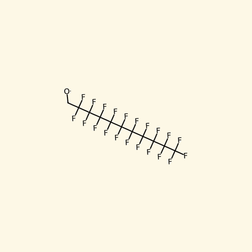 [O]CC(F)(F)C(F)(F)C(F)(F)C(F)(F)C(F)(F)C(F)(F)C(F)(F)C(F)(F)C(F)(F)C(F)(F)F